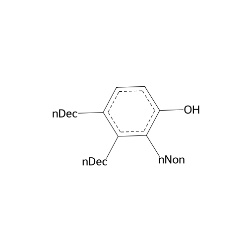 CCCCCCCCCCc1ccc(O)c(CCCCCCCCC)c1CCCCCCCCCC